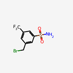 NS(=O)(=O)c1cc(CBr)cc(C(F)(F)F)c1